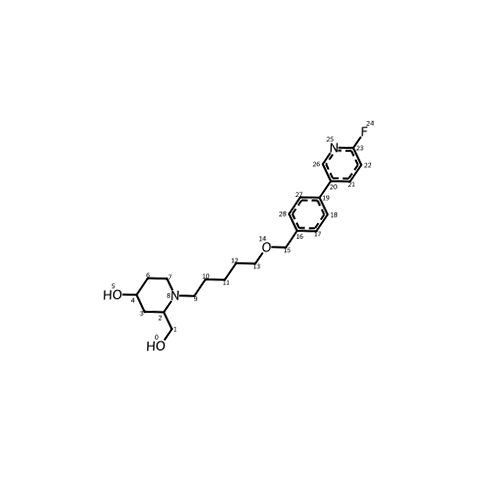 OCC1CC(O)CCN1CCCCCOCc1ccc(-c2ccc(F)nc2)cc1